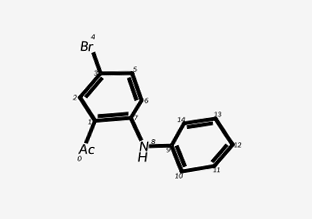 CC(=O)c1cc(Br)ccc1Nc1ccccc1